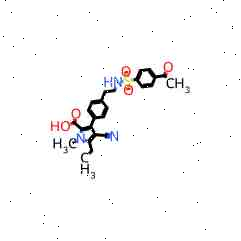 CCc1c(C#N)c(-c2ccc(CCNS(=O)(=O)c3ccc(C(C)=O)cc3)cc2)c(C(=O)O)n1C